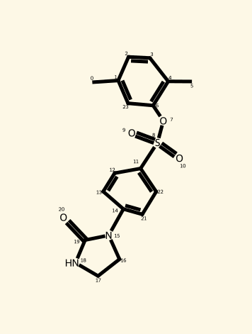 Cc1ccc(C)c(OS(=O)(=O)c2ccc(N3CCNC3=O)cc2)c1